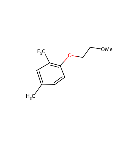 COCCOc1ccc(C)cc1C(F)(F)F